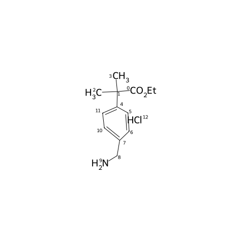 CCOC(=O)C(C)(C)c1ccc(CN)cc1.Cl